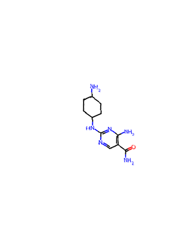 NC(=O)c1cnc(NC2CCC(N)CC2)nc1N